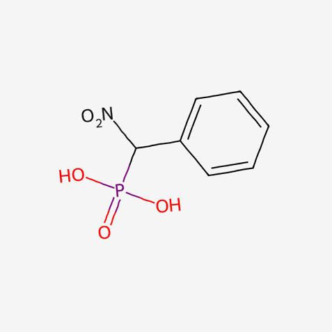 O=[N+]([O-])C(c1ccccc1)P(=O)(O)O